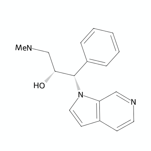 CNC[C@@H](O)[C@H](c1ccccc1)n1ccc2ccncc21